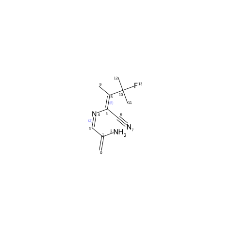 C=C(N)/C=N\C(C#N)=C(/C)C(C)(C)F